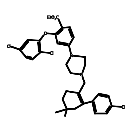 CCOC(=O)c1ccc(N2CCN(CC3=C(c4ccc(Cl)cc4)CC(C)(C)CC3)CC2)cc1Oc1cc(Cl)ccc1Cl